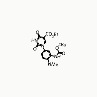 CCOC(=O)c1cn(-c2ccc(NC)c(NC(=O)OC(C)(C)C)c2)c(=O)[nH]c1=O